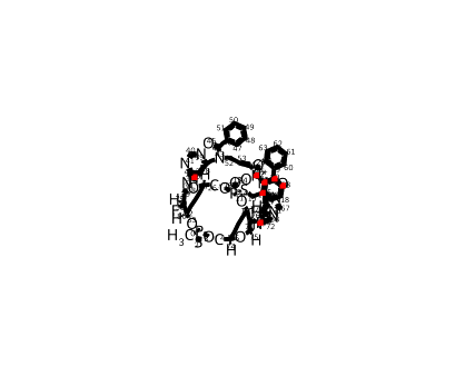 CP1(=S)OC[C@H]2O[C@@H]3[C@H](F)[C@@H]2O[P@@](=O)(SCc2ccccc2[N+](=O)[O-])OC[C@H]2OC([C@H](F)[C@@H]2O1)n1cnc2c(ncnc21)N(C(=O)c1ccccc1)C/C=C/CN(C(=O)c1ccccc1)c1ncnc2c1ncn23